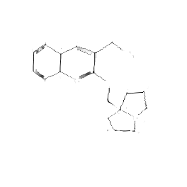 N#CCC1=CC2C=CC=CC2N=C1OC[C@@]12CCCN1C[C@H](F)C2